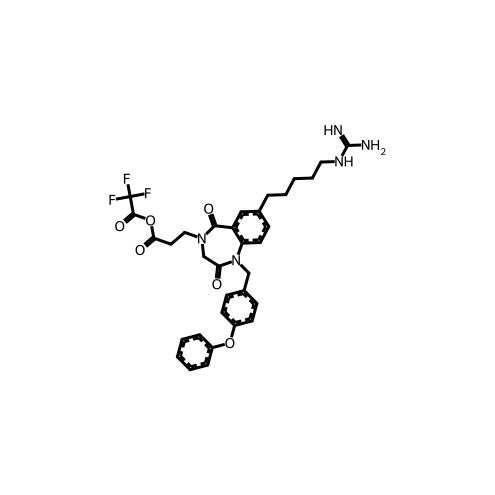 N=C(N)NCCCCCc1ccc2c(c1)C(=O)N(CCC(=O)OC(=O)C(F)(F)F)CC(=O)N2Cc1ccc(Oc2ccccc2)cc1